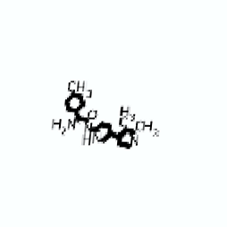 Cc1nccc(-c2ccc(NC(=O)[C@@H](N)C3CCC(C)CC3)nc2)c1C